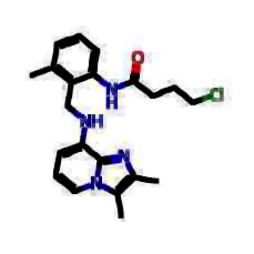 Cc1cccc(NC(=O)CCCCl)c1CNc1cccn2c(C)c(C)nc12